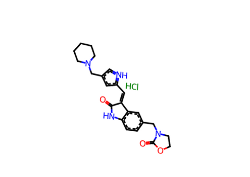 Cl.O=C1Nc2ccc(CN3CCOC3=O)cc2/C1=C/c1cc(CN2CCCCC2)c[nH]1